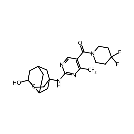 O=C(c1cnc(NC23CCC4(O)CC(CC(C4)C2)C3)nc1C(F)(F)F)N1CCC(F)(F)CC1